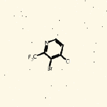 FC(F)(F)c1nccc(Cl)c1Br